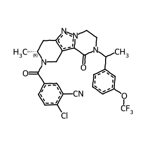 CC(c1cccc(OC(F)(F)F)c1)N1CCn2nc3c(c2C1=O)CN(C(=O)c1ccc(Cl)c(C#N)c1)[C@H](C)C3